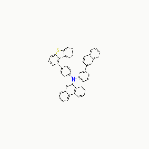 C1=Cc2c(c(N(c3ccc(-c4cccc5sc6ccccc6c45)cc3)c3cccc(-c4ccc5ccccc5c4)c3)cc3ccccc23)CC1